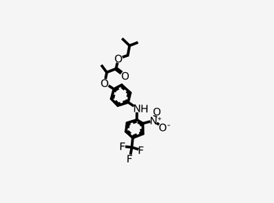 CC(C)COC(=O)C(C)Oc1ccc(Nc2ccc(C(F)(F)F)cc2[N+](=O)[O-])cc1